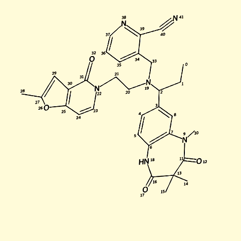 CCC(c1ccc2c(c1)N(C)C(=O)C(C)(C)C(=O)N2)N(CCn1ccc2oc(C)cc2c1=O)Cc1cccnc1C#N